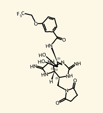 N=C1N[C@H]2[C@H](CN3C(=O)CCC3=O)NC(=N)N3C[C@H](NC(=O)c4cccc(OCC(F)(F)F)c4)C(O)(O)[C@]23N1